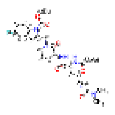 COC(=O)NC(CC/C=C/C(=O)N(C)C)C(=O)Nc1cccn(Cc2cc3cc(F)ccc3n2C(=O)OC(C)(C)C)c1=O